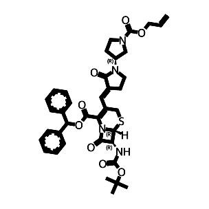 C=CCOC(=O)N1CC[C@@H](N2CCC(=CC3=C(C(=O)OC(c4ccccc4)c4ccccc4)N4C(=O)[C@@H](NC(=O)OC(C)(C)C)[C@H]4SC3)C2=O)C1